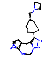 C1=Nc2[nH]ccc2C2=C([C@H]3CC[C@H](CN4CCC4)CC3)NNN12